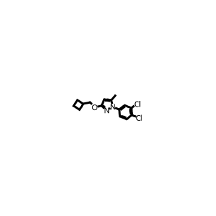 Cc1cc(OCC2CCC2)nn1-c1ccc(Cl)c(Cl)c1